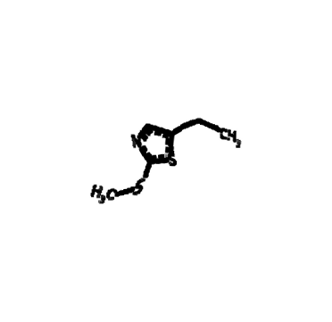 CCc1cnc(SC)s1